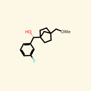 COCC12CCC([C@@H](O)c3cccc(F)c3)(CC1)C2